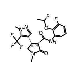 CC(F)Oc1c(F)cccc1NC(=O)[C@H]1C(=O)N(C)C[C@@H]1c1cnn(C)c1C(F)(F)F